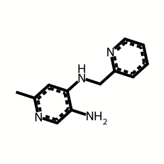 Cc1cc(NCc2ccccn2)c(N)cn1